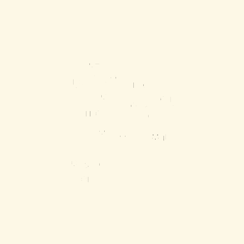 C=C(C)C(=O)OCC(C)(COC(=O)C(=C)C)C(=O)OCCS(=O)(=O)O.[MgH2]